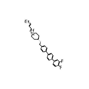 CCC=CCC[Si@H]1CC[C@H](CCc2ccc(-c3ccc(-c4ccc(F)c(F)c4)cc3)cc2)CC1